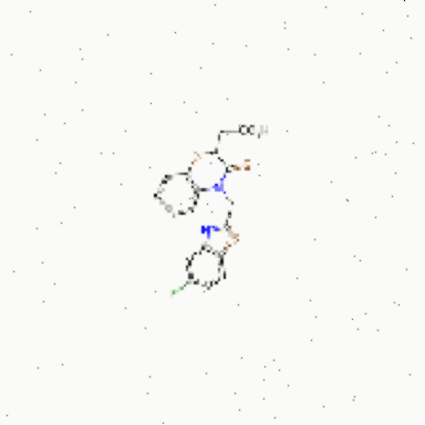 O=C(O)CC1Sc2ccccc2N(Cc2nc3cc(F)ccc3s2)C1=S